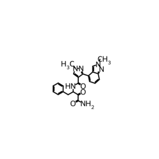 Cn1cc(C(=O)NC(Cc2ccccc2)C(=O)C(N)=O)c(-c2cccc3nn(C)cc23)n1